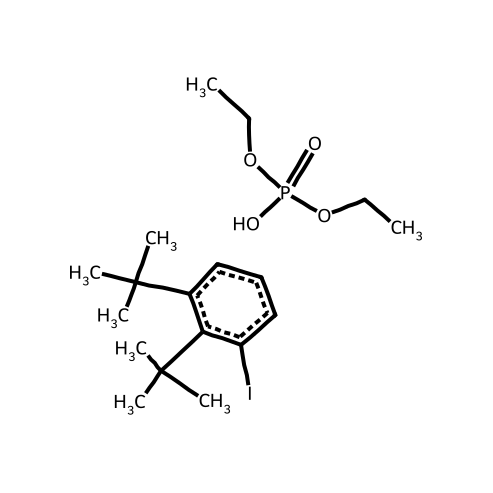 CC(C)(C)c1cccc(I)c1C(C)(C)C.CCOP(=O)(O)OCC